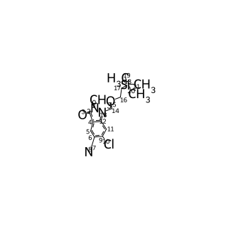 Cn1c(=O)c2cc(C#N)c(Cl)cc2n1COCC[Si](C)(C)C